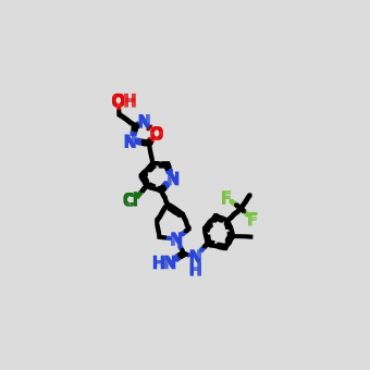 Cc1cc(NC(=N)N2CC=C(c3ncc(-c4nc(CO)no4)cc3Cl)CC2)ccc1C(C)(F)F